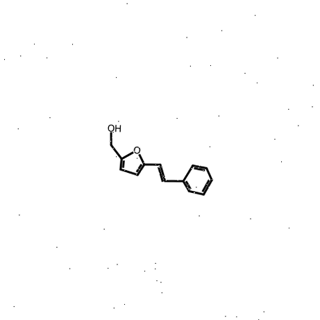 OCc1ccc(C=Cc2ccccc2)o1